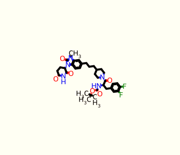 Cn1c(=O)n(C2CCC(=O)NC2=O)c2ccc(CCCC3CCN(C(=O)C(Cc4ccc(F)c(F)c4)NC(=O)OC(C)(C)C)CC3)cc21